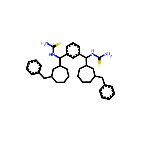 NC(=S)NC(c1cccc(C(NC(N)=S)C2CCCCC(Cc3ccccc3)C2)c1)C1CCCCC(Cc2ccccc2)C1